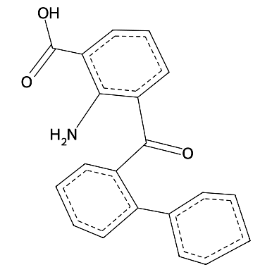 Nc1c(C(=O)O)cccc1C(=O)c1ccccc1-c1ccccc1